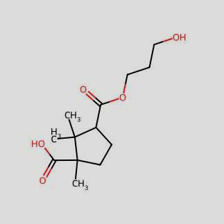 CC1(C(=O)O)CCC(C(=O)OCCCO)C1(C)C